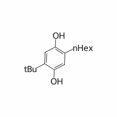 CCCCCCc1cc(O)c(C(C)(C)C)cc1O